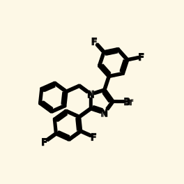 Fc1cc(F)cc(-c2c(Br)nc(-c3ccc(F)cc3F)n2Cc2ccccc2)c1